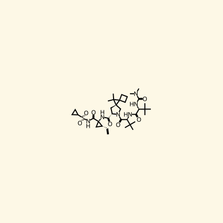 C=C[C@@H]1C[C@]1(NC(=O)[C@@H]1C[C@@]2(CN1C(=O)[C@@H](NC(=O)[C@@H](NC(=O)N(C)C)C(C)(C)C)C(C)(C)C)C(C)(C)C21CCC1)C(=O)NS(=O)(=O)C1CC1